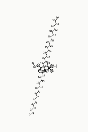 CCCCCCCCCCCCCCCCCCC(CCCCCCCCCCCCCCCCCC)(C(=O)OCC)C(C)P(=O)(O)O